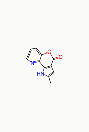 Cc1cc2c(=O)oc3cccnc3c2[nH]1